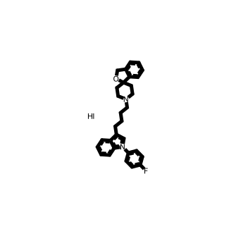 Fc1ccc(-n2cc(CCCCN3CCC4(CC3)OCc3ccccc34)c3ccccc32)cc1.I